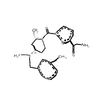 Cc1cccc(CN(C)[C@H]2CCN(C(=O)n3ccc(C(N)=O)n3)[C@@H](C)C2)c1